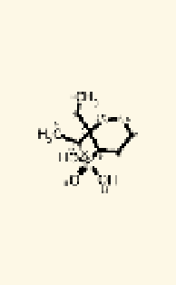 CCC1(CC)SSCCC1P(=O)(O)O